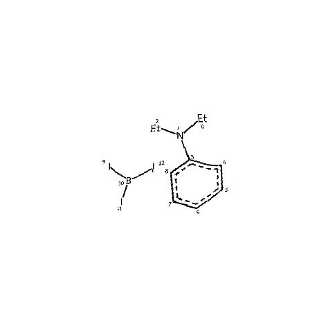 CCN(CC)c1ccccc1.IB(I)I